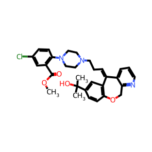 COC(=O)c1cc(Cl)ccc1N1CCN(CC/C=C2\c3cc(C(C)(C)O)ccc3OCc3ncccc32)CC1